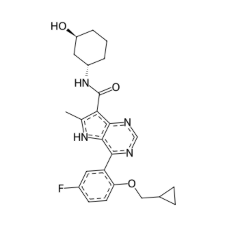 Cc1[nH]c2c(-c3cc(F)ccc3OCC3CC3)ncnc2c1C(=O)N[C@H]1CCC[C@H](O)C1